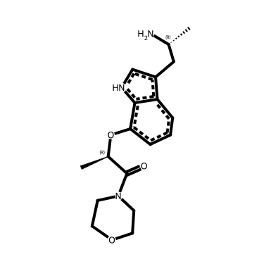 C[C@@H](N)Cc1c[nH]c2c(O[C@H](C)C(=O)N3CCOCC3)cccc12